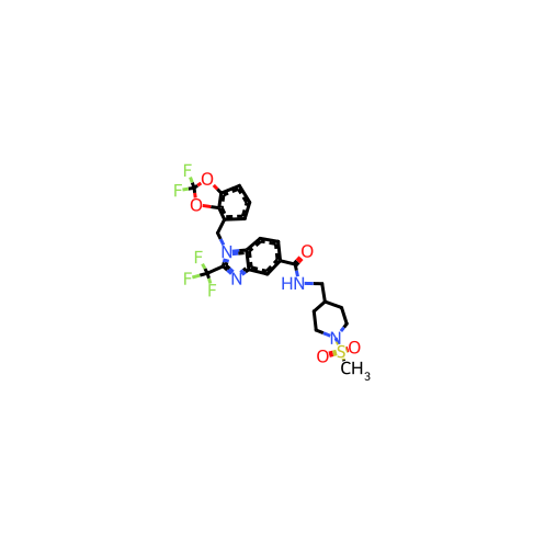 CS(=O)(=O)N1CCC(CNC(=O)c2ccc3c(c2)nc(C(F)(F)F)n3Cc2cccc3c2OC(F)(F)O3)CC1